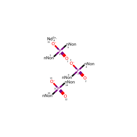 CCCCCCCCCP(=O)([O-])CCCCCCCCC.CCCCCCCCCP(=O)([O-])CCCCCCCCC.CCCCCCCCCP(=O)([O-])CCCCCCCCC.[Nd+3]